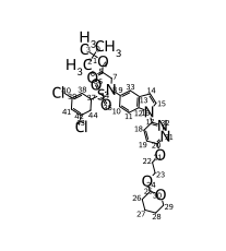 CC(C)(C)OC(=O)CN(c1ccc2c(ccn2-c2ccc(OCCOC3CCCCO3)nn2)c1)S(=O)(=O)C1C=C(Cl)C=C(Cl)C1